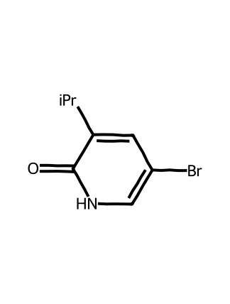 CC(C)c1cc(Br)c[nH]c1=O